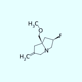 C=C1CN2C[C@H](F)C[C@@]2(COC)C1